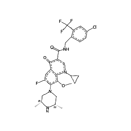 COc1c(N2C[C@@H](C)N[C@@H](C)C2)c(F)cc2c(=O)c(C(=O)NCc3ccc(Cl)cc3C(F)(F)F)cn(C3CC3)c12